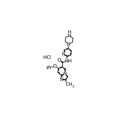 Cc1cn2cc(C(=O)Nc3ccc(N4CCNCC4)cn3)c(OC(C)C)cc2n1.Cl